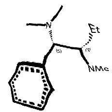 CC[C@H](NC)[C@H](c1ccccc1)N(C)C